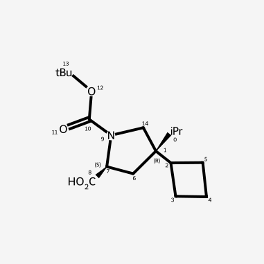 CC(C)[C@@]1(C2CCC2)C[C@@H](C(=O)O)N(C(=O)OC(C)(C)C)C1